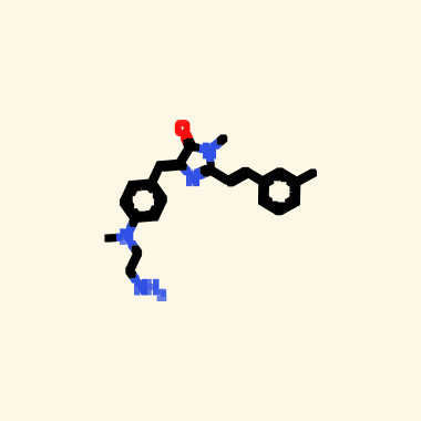 Cc1cccc(/C=C/C2=NC(=C\c3ccc(N(C)CCN)cc3)/C(=O)N2C)c1